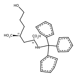 O=C(O)[C@@H](CCCO)C[C@@H](NC(c1ccccc1)(c1ccccc1)c1ccccc1)C(=O)O